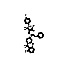 Cc1c(CN(CCc2ccccc2)C2CCN(C(=O)c3c(F)cccc3F)CC2)c(=O)n(-c2ccc(F)cc2)n1C